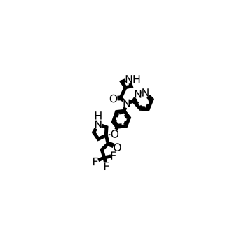 O=C(C1CNC1)N(c1ccc(O[C@]2(C(=O)CC(F)(F)F)CCNC2)cc1)c1cccnn1